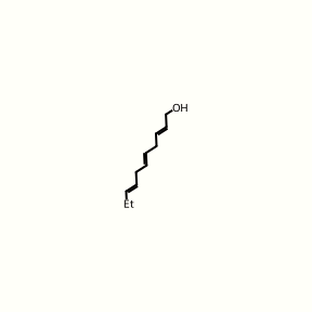 CCC=CCC=CCC=CCO